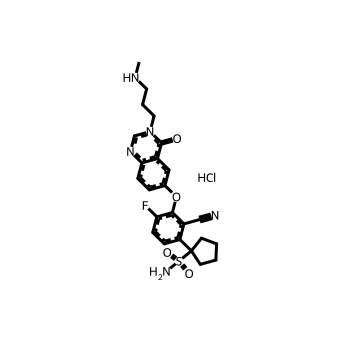 CNCCCn1cnc2ccc(Oc3c(F)ccc(C4(S(N)(=O)=O)CCCC4)c3C#N)cc2c1=O.Cl